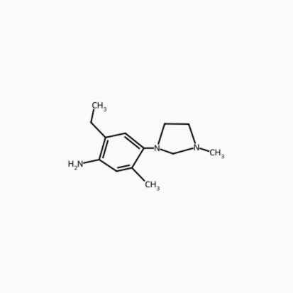 CCc1cc(N2CCN(C)C2)c(C)cc1N